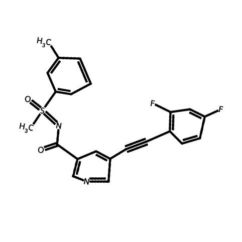 Cc1cccc(S(C)(=O)=NC(=O)c2cncc(C#Cc3ccc(F)cc3F)c2)c1